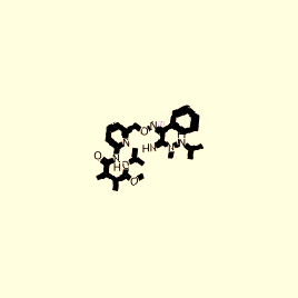 COC(OC(C)C)C(C)C(C)C(=O)Nc1cccc(CO/N=C(\C(=N)N(C)NC(C)C)c2ccccc2)n1